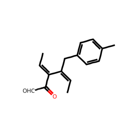 C/C=C(Cc1ccc(C)cc1)\C(=C/C)C(=O)C=O